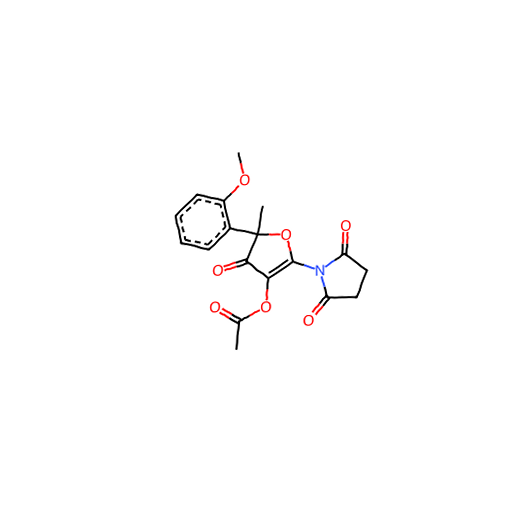 COc1ccccc1C1(C)OC(N2C(=O)CCC2=O)=C(OC(C)=O)C1=O